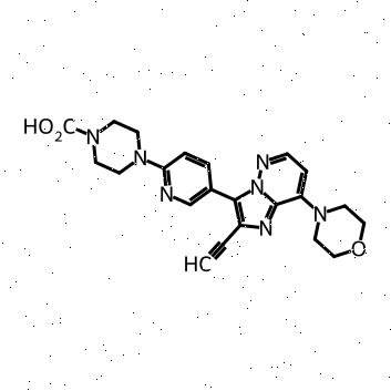 C#Cc1nc2c(N3CCOCC3)ccnn2c1-c1ccc(N2CCN(C(=O)O)CC2)nc1